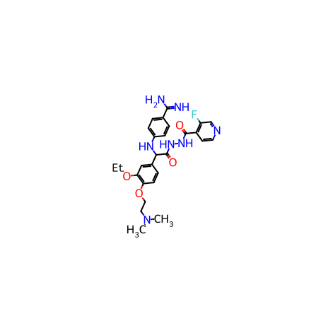 CCOc1cc(C(Nc2ccc(C(=N)N)cc2)C(=O)NNC(=O)c2ccncc2F)ccc1OCCN(C)C